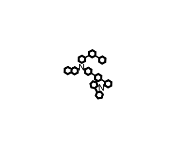 c1ccc(-c2cccc(-c3cccc(N(c4ccc(-c5ccc(-c6ccccc6-n6c7ccccc7c7ccccc76)cc5)cc4)c4ccc5ccccc5c4)c3)c2)cc1